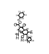 CNn1cc(C(=O)OCc2ccccc2)c(=O)c2cc(F)c(-n3ccnc3)c(O)c21